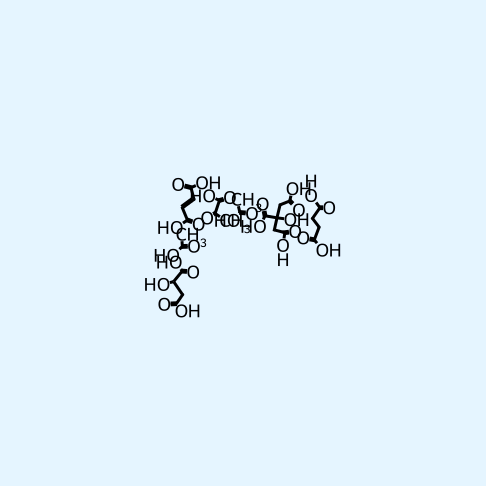 CC(=O)C(=O)O.CC(=O)O.CC(=O)O.O=C(O)/C=C/C(=O)O.O=C(O)CC(O)(CC(=O)O)C(=O)O.O=C(O)CC(O)C(=O)O.O=C(O)CCC(=O)O